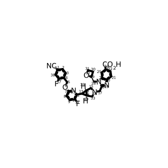 N#Cc1ccc(COc2ccc(F)c(C3[C@H]4CN(Cc5nc6ccc(C(=O)O)cc6n5C[C@@H]5CCO5)C[C@@H]34)n2)c(F)c1